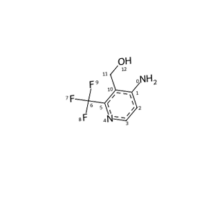 Nc1ccnc(C(F)(F)F)c1CO